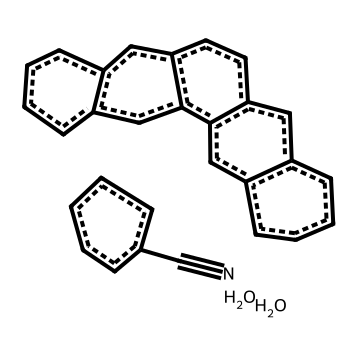 N#Cc1ccccc1.O.O.c1ccc2cc3c(ccc4cc5ccccc5cc43)cc2c1